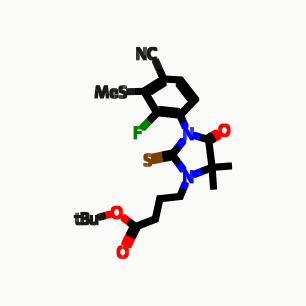 CSc1c(C#N)ccc(N2C(=O)C(C)(C)N(CCCC(=O)OC(C)(C)C)C2=S)c1F